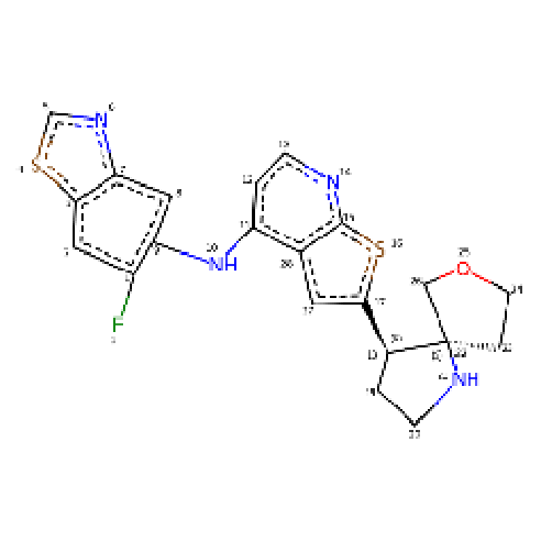 Fc1cc2scnc2cc1Nc1ccnc2sc([C@@H]3CCN[C@@]34CCOC4)cc12